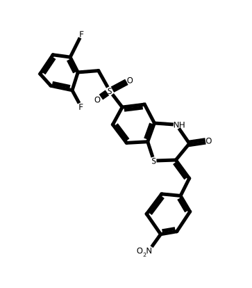 O=C1Nc2cc(S(=O)(=O)Cc3c(F)cccc3F)ccc2SC1=Cc1ccc([N+](=O)[O-])cc1